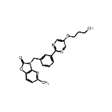 Cc1ccc2oc(=O)n(Cc3cccc(-c4ncc(OCCCO)cn4)c3)c2n1